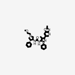 COCCN1C[C@@H](NC(=O)Nc2c(C)c(-c3cnc4nc(C)oc4c3)nn2-c2ccccc2)[C@H](c2ccccc2)C1